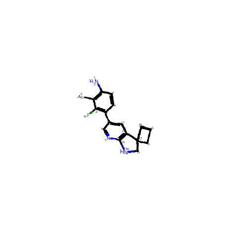 CC(=O)c1c(N)ccc(-c2cnc3c(c2)C2(CCC2)CN3)c1F